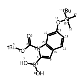 CC(C)(C)OC(=O)n1c(B(O)O)cc2ccc(O[Si](C)(C)C(C)(C)C)cc21